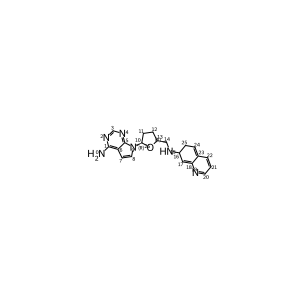 Nc1ncnc2c1ccn2[C@H]1CC[C@@H](CNC2C=c3ncccc3=CC2)O1